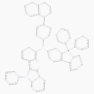 c1ccc(-n2c3ccccc3c3sc4c(N(c5ccc(-c6cccc7ccccc67)cc5)c5ccc6c(c5)C(c5ccccc5)(c5ccccc5)c5ccccc5-6)cccc4c32)cc1